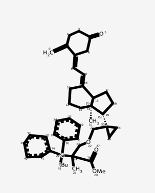 C=C1CCC(=O)CC1=CC=C1CCC[C@@]2(C)C1CC[C@@H]2C1(COCC(C)(C(=O)OC)[Si](c2ccccc2)(c2ccccc2)C(C)(C)C)CC1